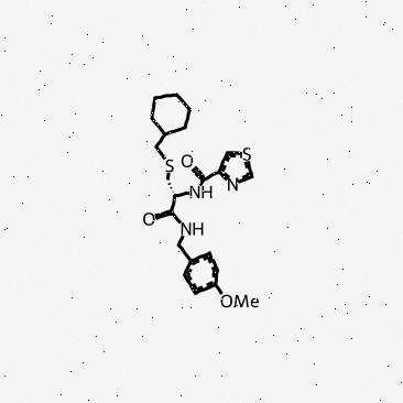 COc1ccc(CNC(=O)[C@H](CSCC2CCCCC2)NC(=O)c2cscn2)cc1